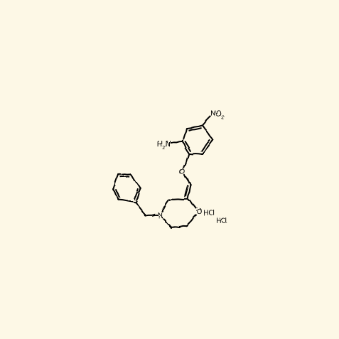 Cl.Cl.Nc1cc([N+](=O)[O-])ccc1OC=C1CN(Cc2ccccc2)CCO1